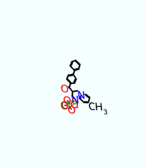 CC1=CC2=[N+](O[Cl+3]([O-])([O-])[O-])CC(C(=O)c3ccc(-c4ccccc4)cc3)CN2C=C1